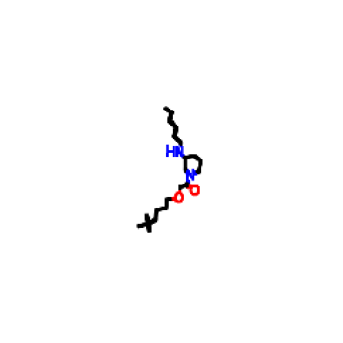 CCC/C=C/CNC1CCCN(C(=O)COCCCCC(C)(C)C)C1